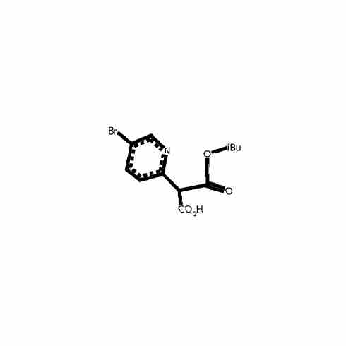 CCC(C)OC(=O)C(C(=O)O)c1ccc(Br)cn1